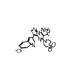 COc1ccc2cc(-c3cnn4c(N)c(C(C)=O)c(N5CCS(=O)(=O)CC5)nc34)cnc2c1